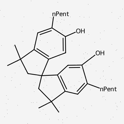 CCCCCc1cc2c(cc1O)C1(CC2(C)C)CC(C)(C)c2cc(CCCCC)c(O)cc21